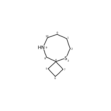 C1CCSC2(CCC2)CNC1